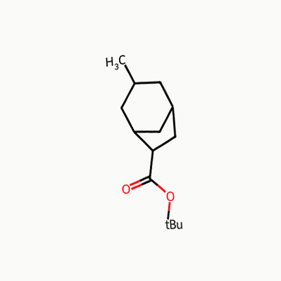 CC1CC2CC(C1)C(C(=O)OC(C)(C)C)C2